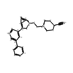 N#CC1CCN(CCN2CC(c3cncc(-c4ccccc4)c3)=C3C=C32)CC1